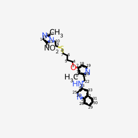 Cc1c(OCCCCSCCn2c([N+](=O)[O-])cnc2C)ccnc1CNc1cnc2ccccc2c1